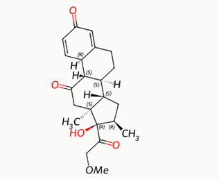 COCC(=O)[C@@]1(O)[C@H](C)C[C@H]2[C@@H]3CCC4=CC(=O)C=C[C@@H]4[C@H]3C(=O)C[C@@]21C